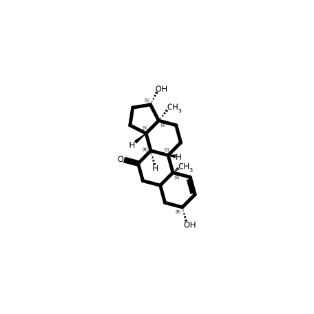 C[C@]12CC[C@H]3[C@@H](C(=O)CC4C[C@@H](O)C=C[C@@]43C)[C@@H]1CC[C@@H]2O